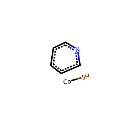 [SH][Co].c1ccncc1